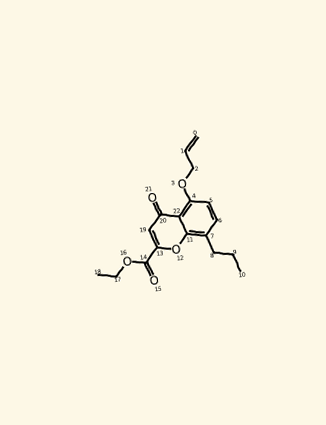 C=CCOc1ccc(CCC)c2oc(C(=O)OCC)cc(=O)c12